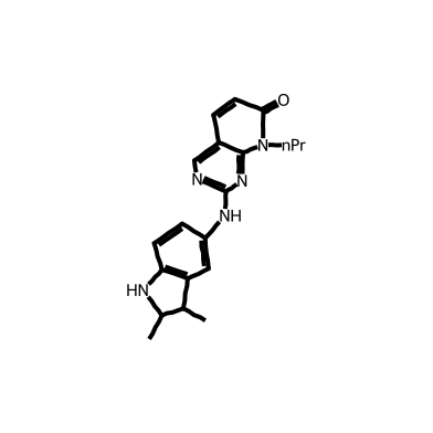 CCCn1c(=O)ccc2cnc(Nc3ccc4c(c3)C(C)C(C)N4)nc21